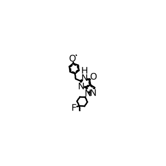 COc1ccc(Cc2nc3c(cnn3C3CCC(C)(F)CC3)c(=O)[nH]2)cc1